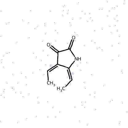 C/C=C1/NC(=O)C(=O)/C1=C/C